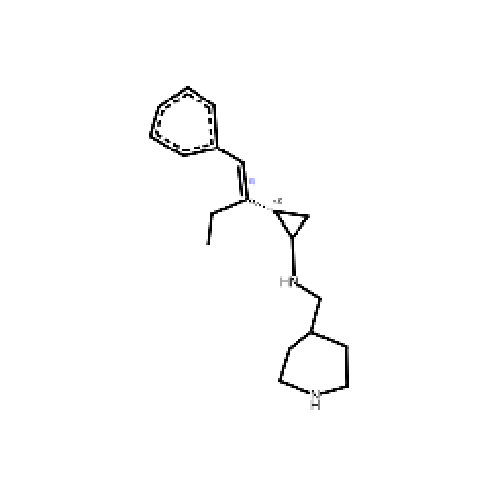 CC/C(=C\c1ccccc1)[C@@H]1CC1NCC1CCNCC1